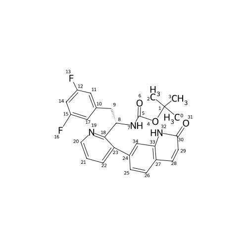 CC(C)(C)OC(=O)N[C@@H](Cc1cc(F)cc(F)c1)c1ncccc1-c1ccc2ccc(=O)[nH]c2c1